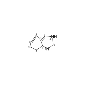 C1=CC2=CNC[N]C2CC1